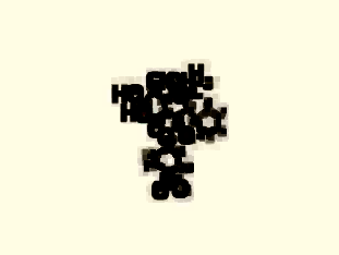 CCC(c1ccccc1)C(C(=O)Oc1ccc([N+](=O)[O-])cc1)C(C(=O)O)C(C(=O)O)C(C)C(=O)O